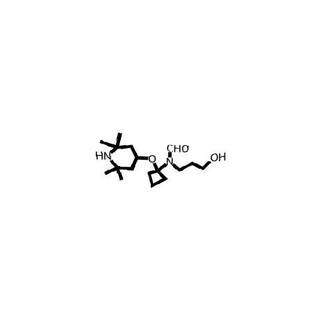 CC1(C)CC(OC2(N(C=O)CCCO)CCC2)CC(C)(C)N1